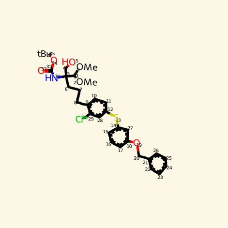 COC(OC)C(CO)(CCCc1ccc(Sc2cccc(OCc3ccccc3)c2)cc1Cl)NC(=O)OC(C)(C)C